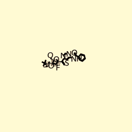 CC(C)(C)[Si](C)(C)O[C@H]1[C@@H](F)[C@H](c2csc3c(NC(=O)c4ccccc4)ncnc23)O[C@@H]1C=O